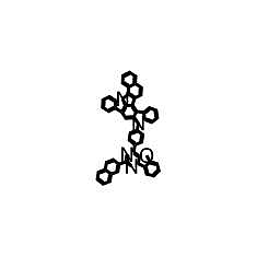 c1ccc2cc(-c3nc(-c4ccc(-n5c6ccccc6c6c7c8ccc9ccccc9c8n8c9ccccc9c(cc65)c78)cc4)c4oc5ccccc5c4n3)ccc2c1